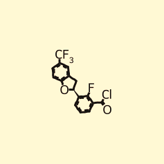 O=C(Cl)c1cccc([C@@H]2Cc3cc(C(F)(F)F)ccc3O2)c1F